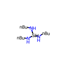 CCCCN[SiH](NCCCC)NCCCC